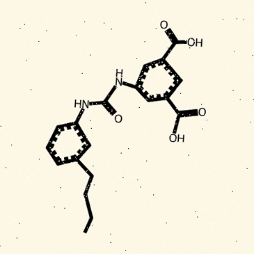 CCCCc1cccc(NC(=O)Nc2cc(C(=O)O)cc(C(=O)O)c2)c1